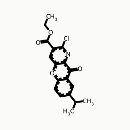 CCOC(=O)c1cc2oc3ccc(C(C)C)cc3c(=O)c2nc1Cl